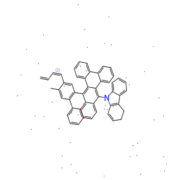 C=C/C=C\c1cc(-c2c3ccccc3c(-n3c4c(c5ccccc53)CCC=C4)c3c4ccccc4c4ccccc4c23)c(-c2ccccc2)cc1C